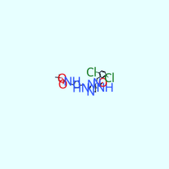 CC(C)(C)OC(=O)NCC1CCC(CNc2ncc3[nH]c(=O)n(Cc4cc(Cl)ccc4Cl)c3n2)CC1